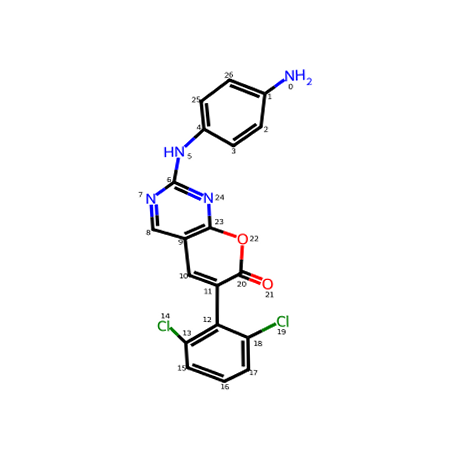 Nc1ccc(Nc2ncc3cc(-c4c(Cl)cccc4Cl)c(=O)oc3n2)cc1